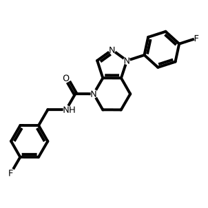 O=C(NCc1ccc(F)cc1)N1CCCc2c1cnn2-c1ccc(F)cc1